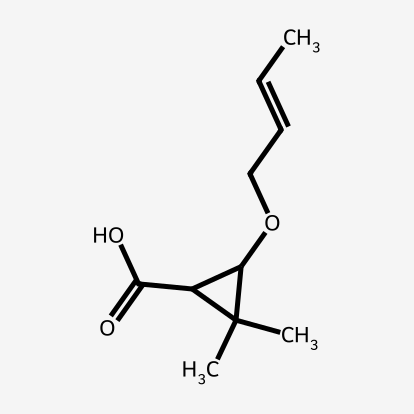 CC=CCOC1C(C(=O)O)C1(C)C